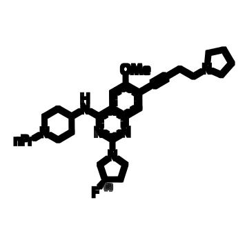 CCCN1CCC(Nc2nc(N3CC[C@@H](F)C3)nc3cc(C#CCCN4CCCC4)c(OC)cc23)CC1